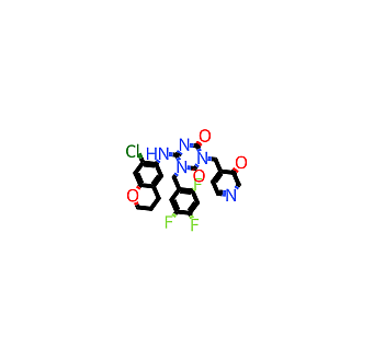 O=C1CN=CC=C1Cn1c(=O)nc(Nc2cc3c(cc2Cl)OCCC3)n(Cc2cc(F)c(F)cc2F)c1=O